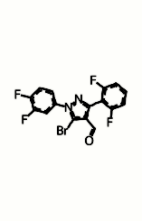 O=Cc1c(-c2c(F)cccc2F)nn(-c2ccc(F)c(F)c2)c1Br